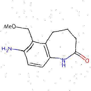 COCc1c(N)ccc2c1CCCC(=O)N2